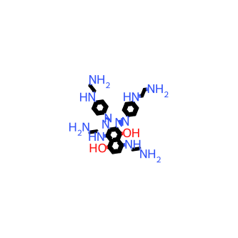 NCCNc1ccc(N=Nc2c(N=Nc3ccc(NCCN)cc3)c(NCCN)c3c(O)ccc(NCCN)c3c2O)cc1